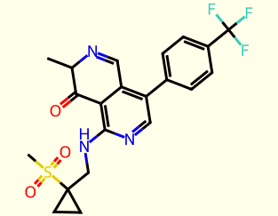 CC1N=Cc2c(-c3ccc(C(F)(F)F)cc3)cnc(NCC3(S(C)(=O)=O)CC3)c2C1=O